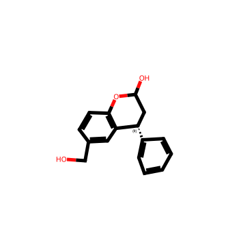 OCc1ccc2c(c1)[C@@H](c1ccccc1)CC(O)O2